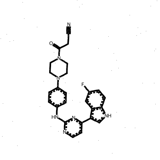 N#CCC(=O)N1CCN(c2ccc(Nc3nccc(-c4c[nH]c5ccc(F)cc45)n3)cc2)CC1